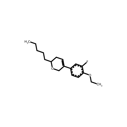 CCCCCC1CC=C(c2ccc(OCC)c(F)c2)CO1